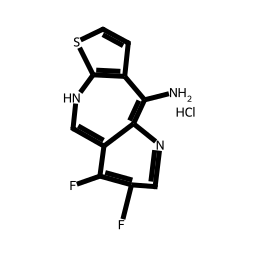 Cl.NC1=c2ncc(F)c(F)c2=CNc2sccc21